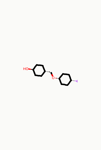 O[C@H]1CC[C@H](CO[C@H]2CC[C@@H](I)CC2)CC1